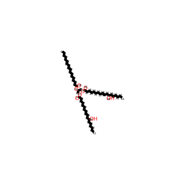 CCCCC/C=C/C/C=C/CCCCCCCC(=O)OC(COC(=O)CCCCCCC/C=C/CC(O)CCCCCC)COC(=O)CCCCCCC/C=C/CC(O)CCCCCC